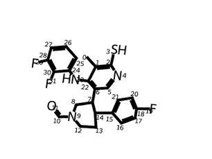 Cc1c(S)ncc(C2CN(C=O)CCC2c2ccc(F)cc2)c1Nc1cccc(F)c1F